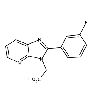 O=C(O)Cn1c(-c2cccc(F)c2)nc2cccnc21